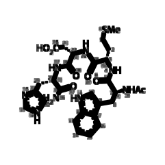 CSCC[C@H](NC(=O)[C@H](Cc1c[nH]c2ccccc12)NC(C)=O)C(=O)N[C@@H](CC(=O)O)C(=O)N[C@@H](Cc1c[nH]cn1)C(N)=O